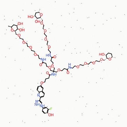 C[C@H]1C[C@@H](O)[C@@H](O)[C@@H](COCCOCCOCCOCCNC(=O)CCOCC(COCCC(=O)NCCOCCOCCOCCOC[C@H]2O[C@@H](C)C[C@@H](O)[C@H]2O)(COCCC(=O)NCCOCCOCCOCCOC[C@H]2O[C@@H](C)CC[C@H]2O)NC(=O)CCCOc2ccc3nc(/C(=C/Nc4ccc(O)c(F)c4)N=N)ccc3c2)O1